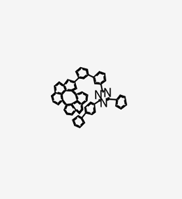 c1ccc(-c2ccc(-c3nc(-c4ccccc4)nc(-c4cccc(-c5cccc(-c6cc7ccc8cccc9c%10cccc%11ccc%12cccc(c(c6)c7c89)c%12c%11%10)c5)c4)n3)cc2)cc1